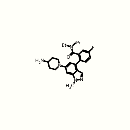 CCN(C(=O)c1cc(F)ccc1-c1cc(N2CCC(N)CC2)cc2c1cnn2C)C(C)C